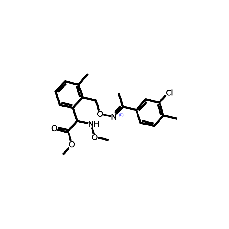 CONC(C(=O)OC)c1cccc(C)c1CO/N=C(\C)c1ccc(C)c(Cl)c1